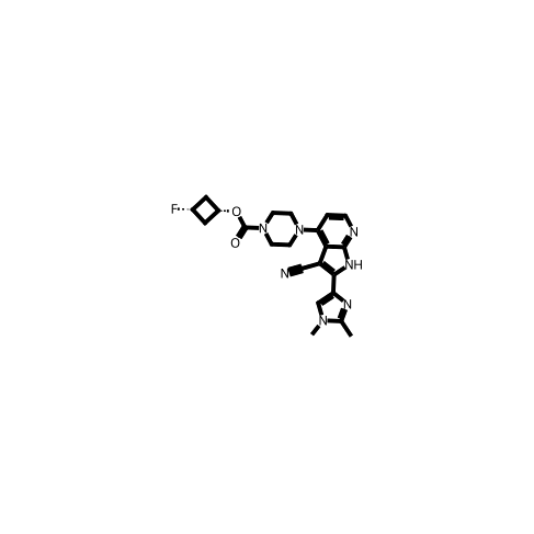 Cc1nc(-c2[nH]c3nccc(N4CCN(C(=O)O[C@H]5C[C@@H](F)C5)CC4)c3c2C#N)cn1C